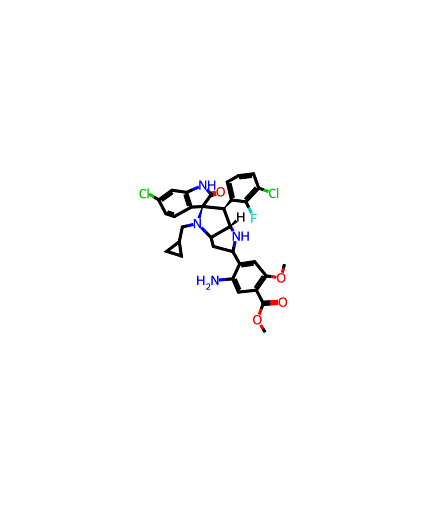 COC(=O)c1cc(N)c(C2CC3[C@@H](N2)[C@H](c2cccc(Cl)c2F)[C@]2(C(=O)Nc4cc(Cl)ccc42)N3CC2CC2)cc1OC